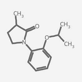 CC(C)Oc1ccccc1N1CCC(C)C1=O